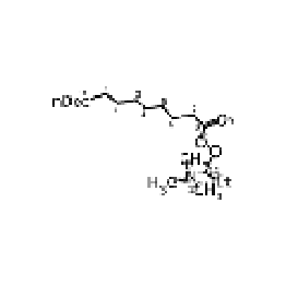 CCCCCCCCCCCCCCCCCC(=O)OOC(CC)[N+](C)(C)C